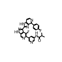 CC(C)C(=O)Nc1cncc(-c2ncc3[nH]nc(-c4nc5c(-c6ccc(F)cc6)nccc5[nH]4)c3c2F)c1